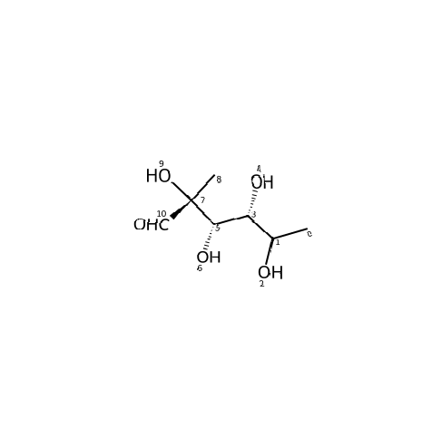 CC(O)[C@@H](O)[C@H](O)[C@@](C)(O)C=O